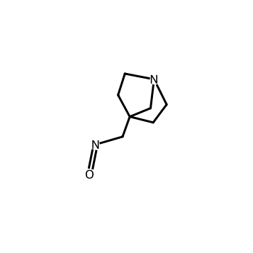 O=NCC12CCN(CC1)C2